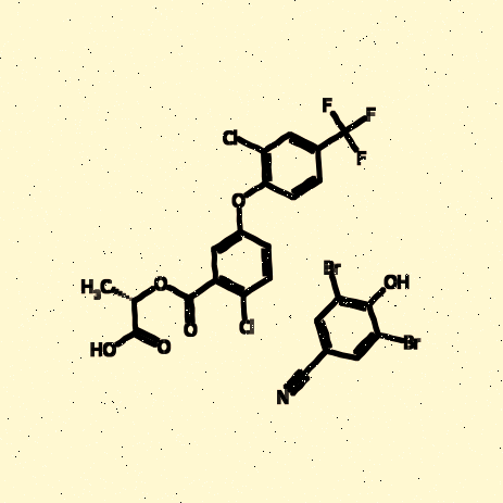 C[C@H](OC(=O)c1cc(Oc2ccc(C(F)(F)F)cc2Cl)ccc1Cl)C(=O)O.N#Cc1cc(Br)c(O)c(Br)c1